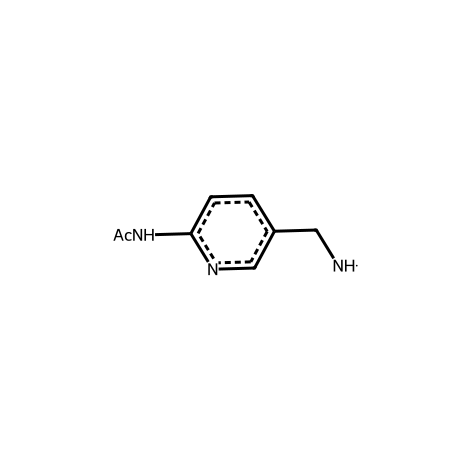 CC(=O)Nc1ccc(C[NH])cn1